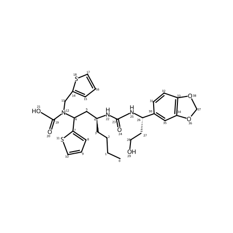 CCCC[C@@H](CC(c1cccs1)N(Cc1cccs1)C(=O)O)NC(=O)N[C@@H](CCO)c1ccc2c(c1)OCO2